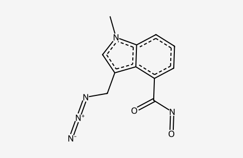 Cn1cc(CN=[N+]=[N-])c2c(C(=O)N=O)cccc21